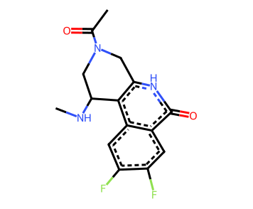 CNC1CN(C(C)=O)Cc2[nH]c(=O)c3cc(F)c(F)cc3c21